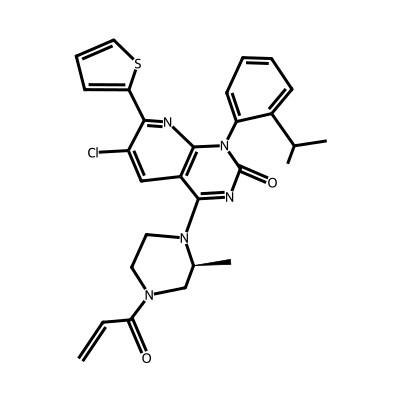 C=CC(=O)N1CCN(c2nc(=O)n(-c3ccccc3C(C)C)c3nc(-c4cccs4)c(Cl)cc23)[C@@H](C)C1